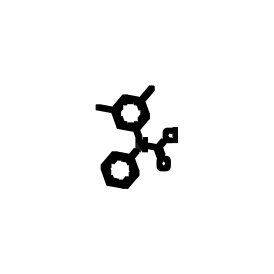 Cc1cc(C)cc(N(C(=O)Cl)c2ccccc2)c1